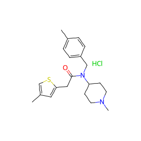 Cc1ccc(CN(C(=O)Cc2cc(C)cs2)C2CCN(C)CC2)cc1.Cl